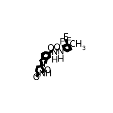 Cc1ccc(NC(=O)NC(=O)c2ccc3c(c2)CN(C2CCC(=O)NC2=O)C3)cc1C(F)(F)F